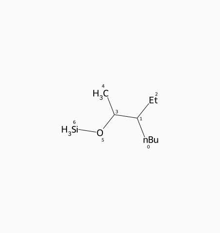 CCCCC(CC)C(C)O[SiH3]